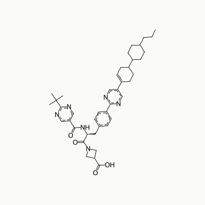 CCCC1CCC(C2CC=C(c3cnc(-c4ccc(C[C@H](NC(=O)c5cnc(C(C)(C)C)nc5)C(=O)N5CC(C(=O)O)C5)cc4)nc3)CC2)CC1